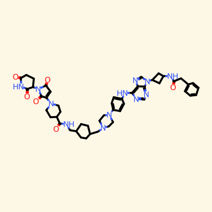 O=C1CCC(N2C(=O)C=C(N3CCC(C(=O)NCC4CCC(CN5CCN(c6ccc(Nc7ncnc8c7ncn8C7CC(NC(=O)Cc8ccccc8)C7)cc6)CC5)CC4)CC3)C2=O)C(=O)N1